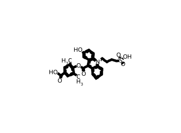 Cc1cc(C(=O)O)cc(C)c1OC(=O)c1c2ccccc2[n+](CCCCS(=O)(=O)O)c2ccc(O)cc12